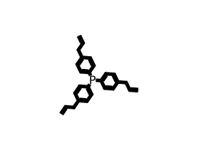 C=CCc1ccc(P(c2ccc(CC=C)cc2)c2ccc(CC=C)cc2)cc1